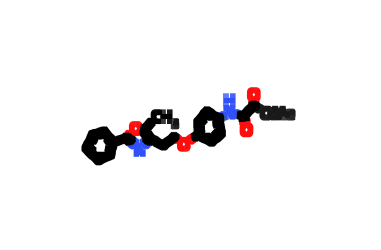 COC(=O)C(=O)Nc1ccc(OCCc2nc(-c3ccccc3)oc2C)cc1